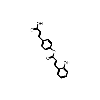 O=C(O)C=Cc1ccc(OC(=O)C=Cc2ccccc2O)cc1